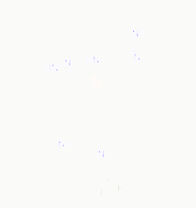 O=C(Nc1ccnc(N2CCCC2)c1)c1n[nH]c2ccc(-c3cncc(CN4CCC(F)(F)CC4)c3)cc12